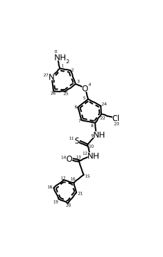 Nc1cc(Oc2ccc(NC(=S)NC(=O)Cc3ccccc3)c(Cl)c2)ccn1